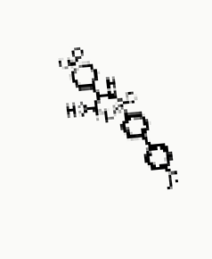 COc1ccc(-c2ccc(S(=O)(=O)NC(C(=O)O)C3CCS(=O)(=O)CC3)cc2)cc1